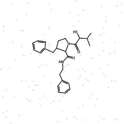 CC(C)C(S)C(=O)N1CCC(Cc2ccccc2)C1C(=O)NCCc1ccccc1